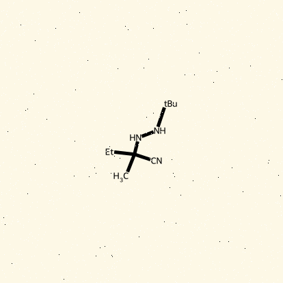 CCC(C)(C#N)NNC(C)(C)C